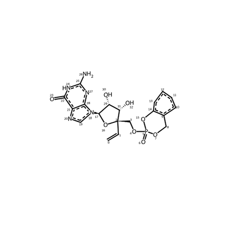 C=C[C@]1(COP2(=O)OCc3ccccc3O2)O[C@@H](n2cnc3c(=O)[nH]c(N)nc32)[C@H](O)[C@@H]1O